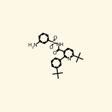 CC(C)(C)c1cccc(-c2nc(C(C)(C)C)ccc2C(=O)NS(=O)(=O)c2cccc(N)c2)c1